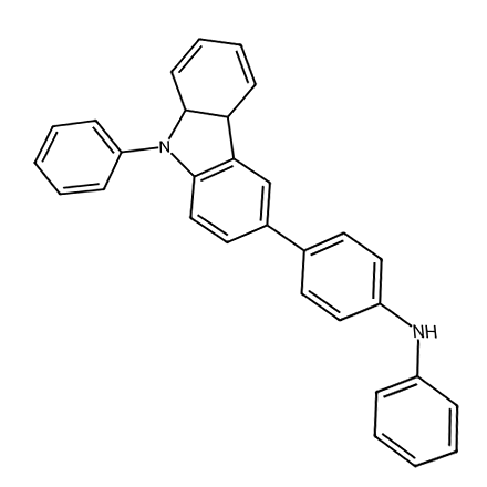 C1=CC2c3cc(-c4ccc(Nc5ccccc5)cc4)ccc3N(c3ccccc3)C2C=C1